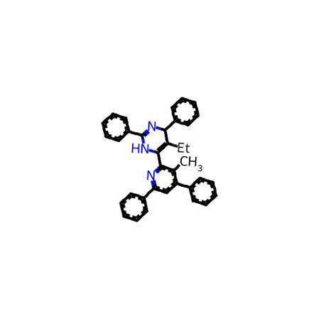 CCC1=C(c2nc(-c3ccccc3)cc(-c3ccccc3)c2C)NC(c2ccccc2)=NC1c1ccccc1